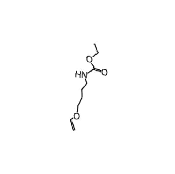 C=COCCCCNC(=O)OCC